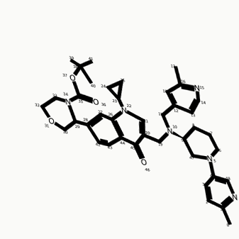 Cc1ccc(N2CCC[C@H](N(Cc3ccnc(C)c3)Cc3cn(C4CC4)c4cc(C5COCCN5C(=O)OC(C)(C)C)ccc4c3=O)C2)cn1